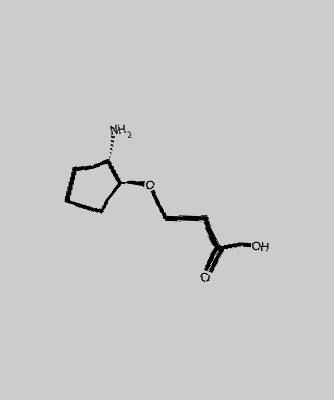 N[C@H]1CCC[C@@H]1OCCC(=O)O